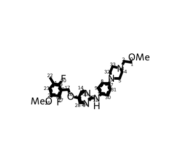 COCCN1CCN(c2ccc(Nc3ncc(OCc4c(F)c(C)cc(OC)c4F)cn3)cc2)CC1